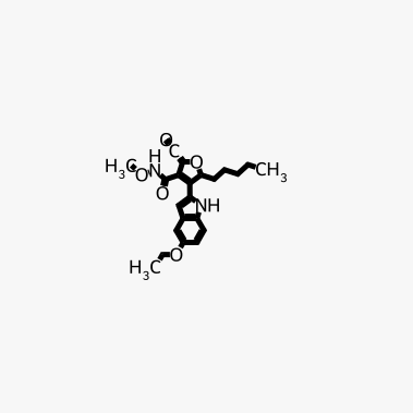 CCCCCC1OC(=C=O)C(C(=O)NOC)=C1c1cc2cc(OCC)ccc2[nH]1